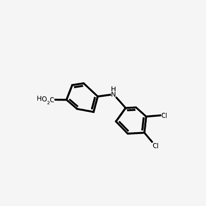 O=C(O)c1ccc(Nc2ccc(Cl)c(Cl)c2)cc1